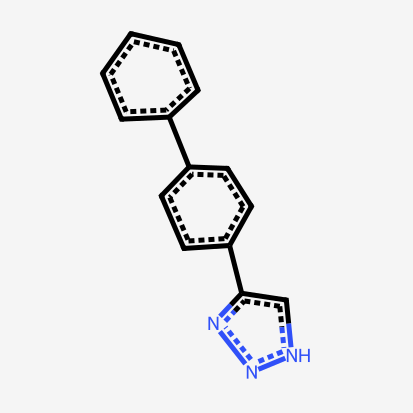 c1ccc(-c2ccc(-c3c[nH]nn3)cc2)cc1